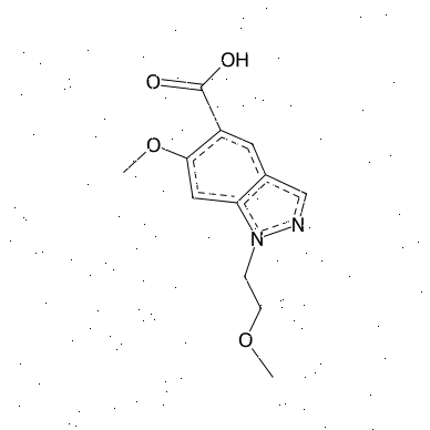 COCCn1ncc2cc(C(=O)O)c(OC)cc21